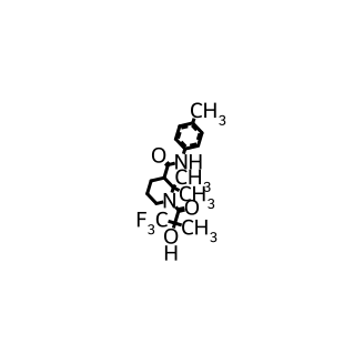 Cc1ccc(NC(=O)C2CCCN(C(=O)C(C)(O)C(F)(F)F)C2(C)C)cc1